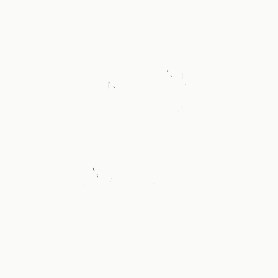 NCCN1CCc2ccc([N+](=O)[O-])cc21.O=C(O)C=CC(=O)O